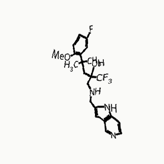 COc1ccc(F)cc1C(C)(C)CC(O)(CNCc1cc2cnccc2[nH]1)C(F)(F)F